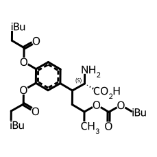 CCC(C)CC(=O)Oc1ccc(C(CC(C)OC(=O)OC(C)CC)[C@H](N)C(=O)O)cc1OC(=O)CC(C)CC